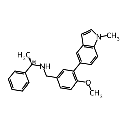 COc1ccc(CN[C@H](C)c2ccccc2)cc1-c1ccc2c(ccn2C)c1